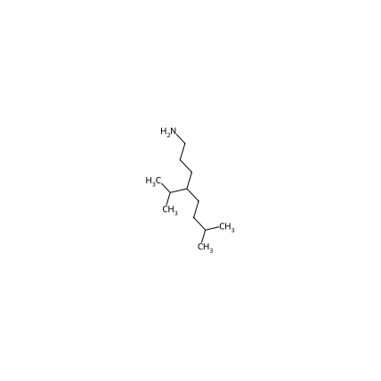 CC(C)CCC(CCCN)C(C)C